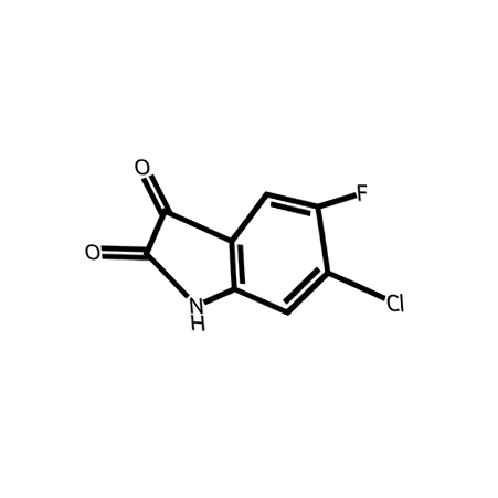 O=C1Nc2cc(Cl)c(F)cc2C1=O